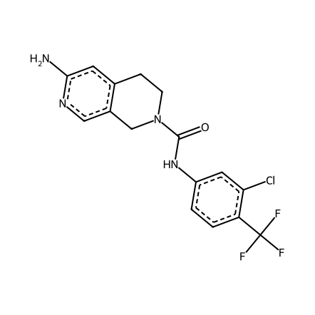 Nc1cc2c(cn1)CN(C(=O)Nc1ccc(C(F)(F)F)c(Cl)c1)CC2